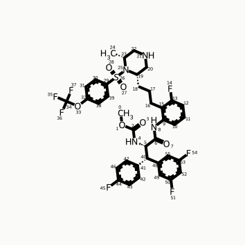 COC(=O)N[C@H](C(=O)Nc1cccc(F)c1CCC[C@H]1CNC[C@@H](C)N1S(=O)(=O)c1ccc(OC(F)(F)F)cc1)[C@@H](c1ccc(F)cc1)c1cc(F)cc(F)c1